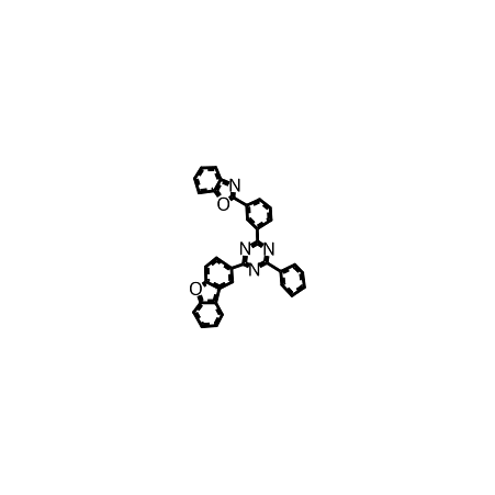 c1ccc(-c2nc(-c3cccc(-c4nc5ccccc5o4)c3)nc(-c3ccc4oc5ccccc5c4c3)n2)cc1